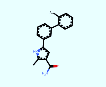 CC(=O)c1ccccc1-c1cccc(-c2cc(C(N)=O)c(C)[nH]2)c1